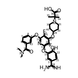 CN(C)C(=O)c1cccc(Oc2nc(Oc3cc(C(=N)N)ccc3O)c(F)c(OC3CCN(C(C)(C)C(=O)O)CC3)c2F)c1